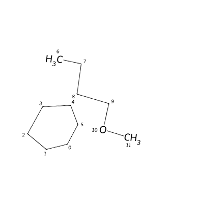 C1CCCCC1.CCCCOC